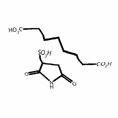 O=C(O)CCCCCCC(=O)O.O=C1CC(S(=O)(=O)O)C(=O)N1